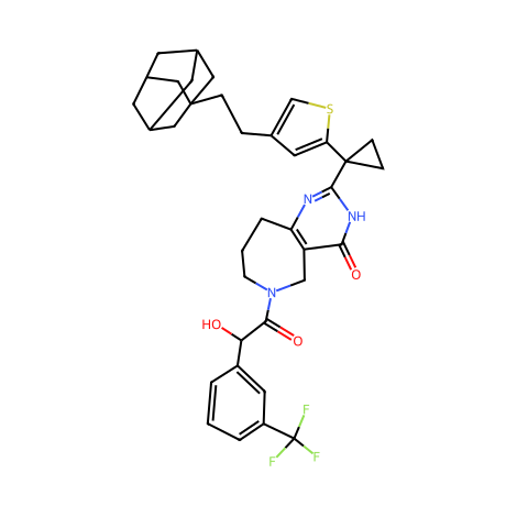 O=C(C(O)c1cccc(C(F)(F)F)c1)N1CCCc2nc(C3(c4cc(CCC56CC7CC(CC(C7)C5)C6)cs4)CC3)[nH]c(=O)c2C1